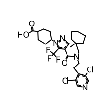 CC1(CN(CCc2c(Cl)cncc2Cl)C(=O)c2cnn(C3CCC(C(=O)O)CC3)c2C(F)(F)F)CCCCC1